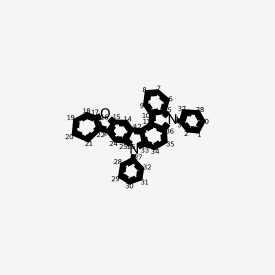 c1ccc(-n2c3ccccc3c3c4c5cc6oc7ccccc7c6cc5n(-c5ccccc5)c4ccc32)cc1